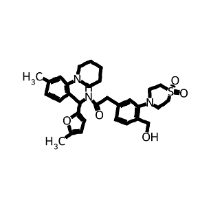 Cc1ccc(C(NC(=O)Cc2ccc(CO)c(N3CCS(=O)(=O)CC3)c2)c2ccc(C)o2)c(N2CCCCC2)c1